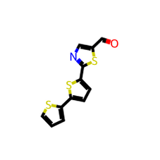 O=Cc1cnc(-c2ccc(-c3cccs3)s2)s1